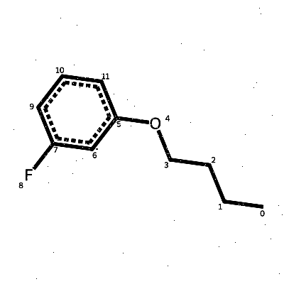 CCCCOc1[c]c(F)ccc1